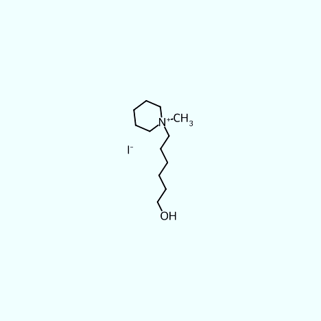 C[N+]1(CCCCCCO)CCCCC1.[I-]